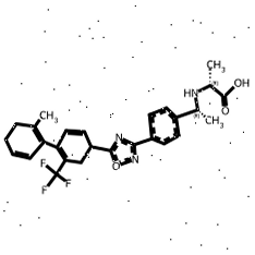 CC1=C(C2=C(C(F)(F)F)CC(c3nc(-c4ccc([C@@H](C)N[C@H](C)C(=O)O)cc4)no3)C=C2)C=CCC1